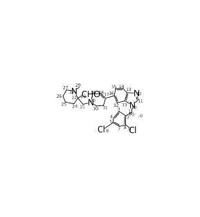 C[C@H](c1ccc(Cl)cc1Cl)n1cnc2ccc(C3=CCN(CC4(C=O)CCCCN4C)CC3)cc21